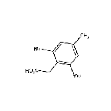 Cc1cc(C(C)(C)C)c(CC(=O)O)c(C(C)(C)C)c1